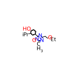 CCOCCc1nc(C)[n+]([O-])c(-c2ccc(O)c(C(C)C)c2)n1